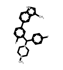 Cc1c[nH]c2ccc(-c3ccc(F)c(C(c4ccc(F)cc4)N4CCN(C)CC4)c3)cc12